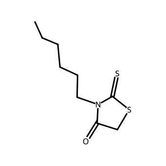 CCCCCCN1C(=O)CSC1=S